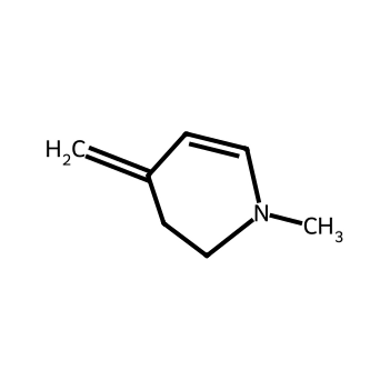 C=C1C=CN(C)CC1